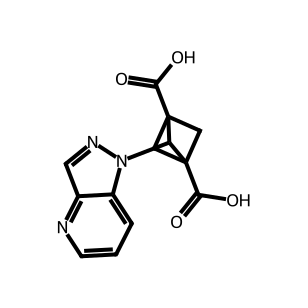 O=C(O)C12CC(C(=O)O)(C1)C2n1ncc2ncccc21